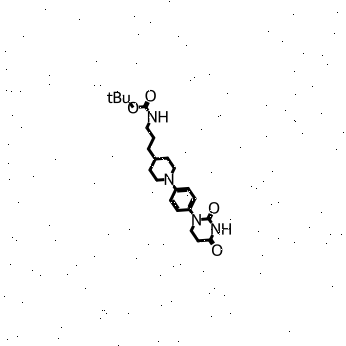 CC(C)(C)OC(=O)NCCCC1CCN(c2ccc(N3CCC(=O)NC3=O)cc2)CC1